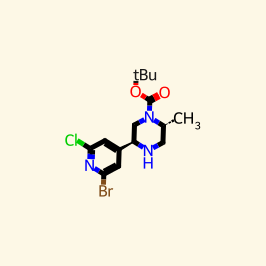 C[C@@H]1CN[C@@H](c2cc(Cl)nc(Br)c2)CN1C(=O)OC(C)(C)C